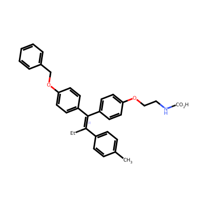 CC/C(=C(/c1ccc(OCCNC(=O)O)cc1)c1ccc(OCc2ccccc2)cc1)c1ccc(C)cc1